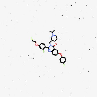 CC(C)N1CCCC(Cn2c(-c3ccc(OCCF)cc3F)nc3ccc(Oc4ccc(F)cc4)cc3c2=O)C1